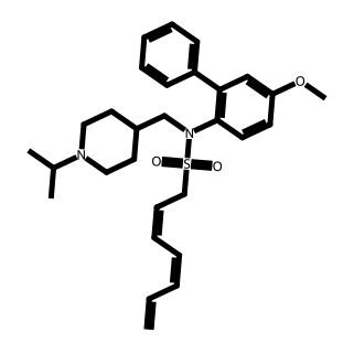 C=C/C=C\C=C/CS(=O)(=O)N(CC1CCN(C(C)C)CC1)c1ccc(OC)cc1-c1ccccc1